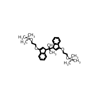 CC(C)(C1C=C(OCCO[Si](C)(C)C)c2ccccc21)C1C=C(OCCO[Si](C)(C)C)c2ccccc21